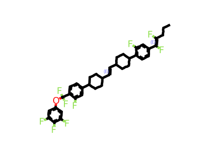 CCC/C(F)=C(\F)c1ccc(C2CCC(/C=C/C3CCC(c4ccc(C(F)(F)Oc5cc(F)c(F)c(F)c5)c(F)c4)CC3)CC2)c(F)c1